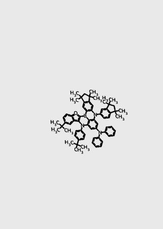 CC(C)(C)c1ccc(N2c3cc(N(c4ccccc4)c4ccccc4)cc4c3B(c3cc5c(cc3N4c3ccc4c(c3)C(C)(C)CC4(C)C)C(C)(C)CC5(C)C)c3oc4ccc(C(C)(C)C)cc4c32)cc1